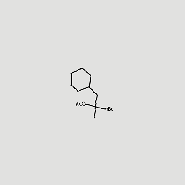 CCCCC(C)(CC1CCCCC1)OC(C)=O